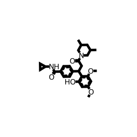 COc1cc(O)c(C(CC(=O)N2CC(C)CC(C)C2)c2ccc(C(=O)NC3CC3)cc2)c(OC)c1